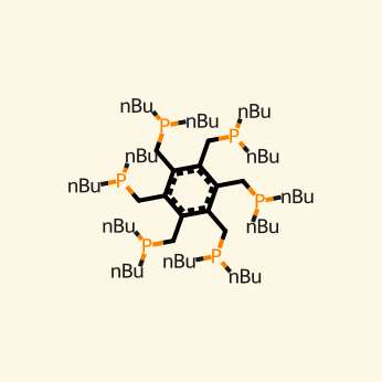 CCCCP(CCCC)Cc1c(CP(CCCC)CCCC)c(CP(CCCC)CCCC)c(CP(CCCC)CCCC)c(CP(CCCC)CCCC)c1CP(CCCC)CCCC